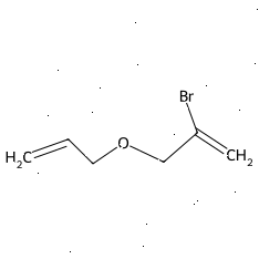 C=CCOCC(=C)Br